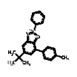 Cc1ccc(-c2cc(C(C)(C)C)cc3n[13c](-c4ccccc4)oc23)cc1